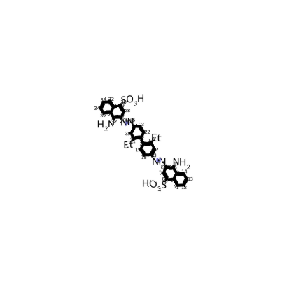 CCc1cc(/N=N/c2cc(S(=O)(=O)O)c3ccccc3c2N)ccc1-c1ccc(/N=N/c2cc(S(=O)(=O)O)c3ccccc3c2N)cc1CC